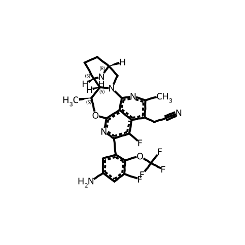 Cc1nc2c3c(nc(-c4cc(N)cc(F)c4OC(F)(F)F)c(F)c3c1CC#N)O[C@@H](C)[C@@H]1[C@@H]3CC[C@H](CN21)N3